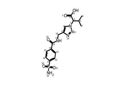 CC(C)C(C(=O)O)n1cc(CNC(=O)c2ccc(S(N)(=O)=O)cc2)nn1